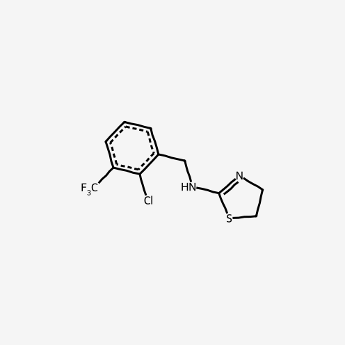 FC(F)(F)c1cccc(CNC2=NCCS2)c1Cl